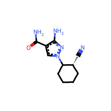 N#C[C@@H]1CCCCC1n1cc(C(N)=O)c(N)n1